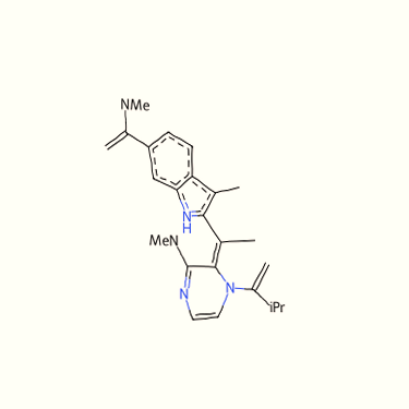 C=C(NC)c1ccc2c(C)c(/C(C)=C3\C(NC)=NC=CN3C(=C)C(C)C)[nH]c2c1